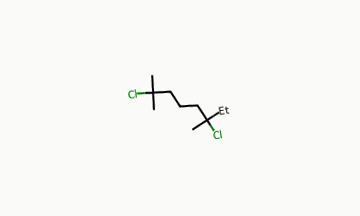 CCC(C)(Cl)CCCC(C)(C)Cl